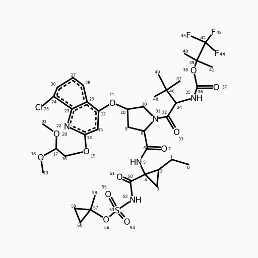 CCC1CC1(NC(=O)C1CC(Oc2cc(OCC(OC)OC)nc3c(Cl)cccc23)CN1C(=O)C(NC(=O)OC(C)(C)C(F)(F)F)C(C)(C)C)C(=O)NS(=O)(=O)OC1(C)CC1